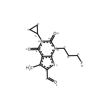 Cc1c(C=O)sc2c1c(=O)n(C1CC1)c(=O)n2CCCF